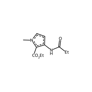 CCOC(=O)c1c(NC(=O)CC)ccn1C